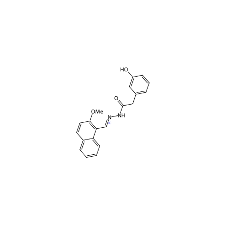 COc1ccc2ccccc2c1/C=N/NC(=O)Cc1cccc(O)c1